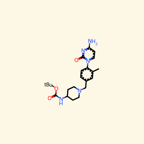 Cc1cc(CN2CCC(NC(=O)OC(C)(C)C)CC2)ccc1-n1ccc(N)nc1=O